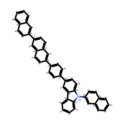 c1ccc2cc(-c3ccc4cc(-c5ccc(-c6ccc7c(c6)c6ccccc6n7-c6ccc7ccccc7c6)cc5)ccc4c3)ccc2c1